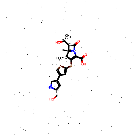 C[C@@H](O)[C@H]1C(=O)N2C(C(=O)O)=C(Sc3cc(C4=C[C@H](CO)NC4)cs3)[C@H](C)[C@H]12